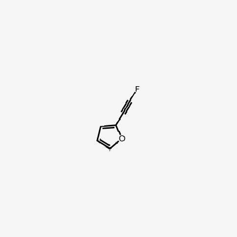 FC#Cc1cc[c]o1